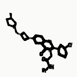 CC(C)NC(=O)Cn1c(-c2cccc(Cl)c2)nc2ccc([C@H]3C[C@@H](CN4CC[C@@H](C)C4)C3)cc2c1=O